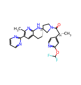 Cc1nc2c(cc1-c1ncccn1)CC[C@@]1(CCN(C(=O)[C@H](C)c3ccnc(OC(F)F)c3)C1)N2